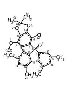 CCOc1cc(P(=O)(c2cc(C)cc(C)c2)c2cc(C)cc(C)c2)c(Cl)c2c1OC(C)(C)O2